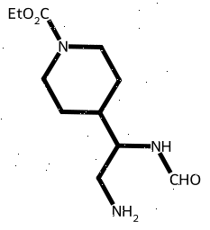 CCOC(=O)N1CCC(C(CN)NC=O)CC1